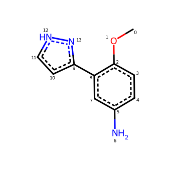 COc1ccc(N)cc1-c1cc[nH]n1